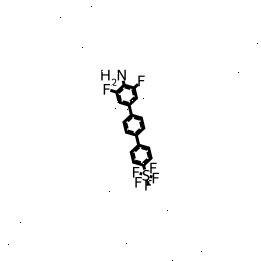 Nc1c(F)cc(-c2ccc(-c3ccc(S(F)(F)(F)(F)F)cc3)cc2)cc1F